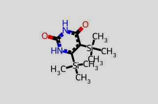 C[Si](C)(C)c1[nH]c(=O)[nH]c(=O)c1[Si](C)(C)C